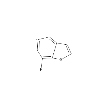 Fc1c[c]cc2ccsc12